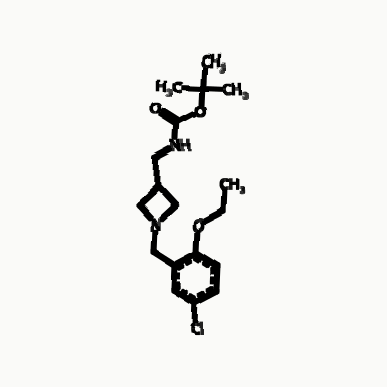 CCOc1ccc(Cl)cc1CN1CC(CNC(=O)OC(C)(C)C)C1